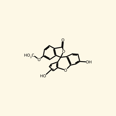 O=C(O)Oc1ccc2c(c1)C1(OC2=O)c2ccc(O)cc2Oc2cc(O)ccc21